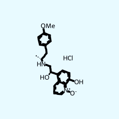 COc1ccc(C[C@@H](C)NC[C@H](O)c2ccc(O)c3c2ccc[n+]3[O-])cc1.Cl